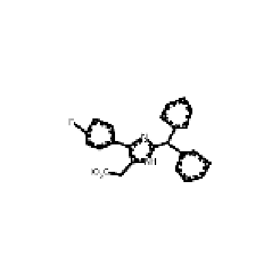 O=C(O)Cc1[nH]c(C(c2ccccc2)c2ccccc2)nc1-c1ccc(F)cc1